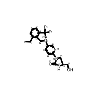 CCc1cccc(C(F)(F)F)c1COc1ccc(N2C[C@@H](CO)NC2=O)nc1